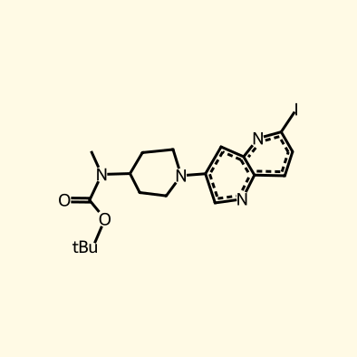 CN(C(=O)OC(C)(C)C)C1CCN(c2cnc3ccc(I)nc3c2)CC1